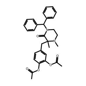 CC(=O)Oc1ccc(CC2(C)C(=O)N(C(c3ccccc3)c3ccccc3)CCN2C)cc1OC(C)=O